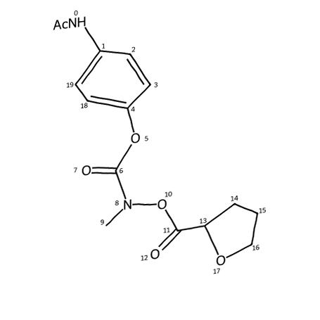 CC(=O)Nc1ccc(OC(=O)N(C)OC(=O)C2CCCO2)cc1